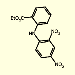 CCOC(=O)c1ccccc1Nc1ccc([N+](=O)[O-])cc1[N+](=O)[O-]